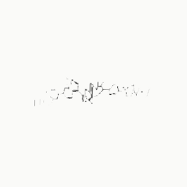 Cc1nn2c(-c3ccnc4cc(-c5ccnc(CO)c5)ccc34)cnc2cc1-c1ccc(N2CCNCC2)cc1